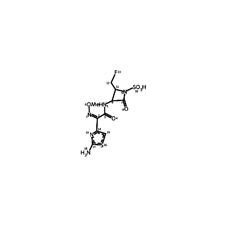 CON=C(C(=O)NC1C(=O)N(S(=O)(=O)O)C1CF)c1csc(N)n1